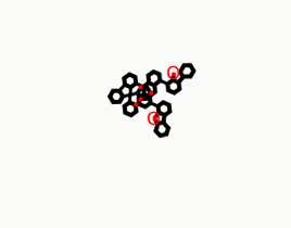 c1ccc2c(c1)-c1ccccc1C21c2ccccc2-c2cccc(-c3c4cccc(-c5cccc6c5oc5ccccc56)c4cc4c(-c5cccc6c5oc5ccccc56)cccc34)c21